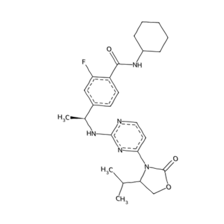 CC(C)C1COC(=O)N1c1ccnc(N[C@@H](C)c2ccc(C(=O)NC3CCCCC3)c(F)c2)n1